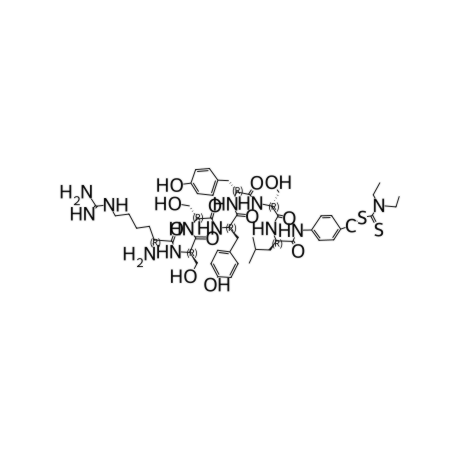 CCN(CC)C(=S)SCc1ccc(NC(=O)[C@@H](CC(C)C)NC(=O)[C@@H](CO)NC(=O)[C@@H](Cc2ccc(O)cc2)NC(=O)[C@@H](Cc2ccc(O)cc2)NC(=O)[C@@H](CO)NC(=O)[C@@H](CO)NC(=O)[C@H](N)CCCCNC(=N)N)cc1